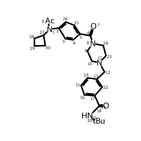 CC(=O)N(c1ccc(C(=O)N2CCN(Cc3cccc(C(=O)NC(C)(C)C)c3)CC2)cc1)C1CCC1